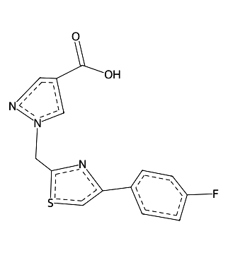 O=C(O)c1cnn(Cc2nc(-c3ccc(F)cc3)cs2)c1